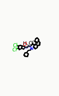 CC1(C)/C(=C/C=C2/Cc3cc(Cl)c(Cl)cc3C2=O)N(CCc2ccccc2)c2ccc3ccc4ccccc4c3c21